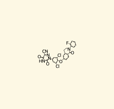 N#Cc1nn(-c2cc(Cl)c(Oc3ccc4c(c3)CCN(c3ccccc3F)C4=O)c(Cl)c2)c(=O)[nH]c1=O